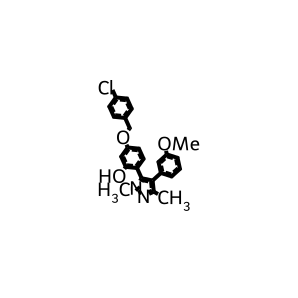 COc1cccc(-c2c(C)nn(C)c2-c2ccc(OCc3ccc(Cl)cc3)cc2O)c1